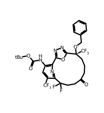 CC(C)(C)OC(=O)Nc1cc(C(F)(F)F)c2nc1-c1nnc(o1)[C@@](OCc1ccccc1)(C(F)(F)F)CCCC(=O)CCC2(F)F